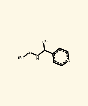 CCCC(NSC(C)(C)C)c1ccncc1